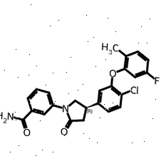 Cc1ccc(F)cc1Oc1cc([C@H]2CC(=O)N(c3cccc(C(N)=O)c3)C2)ccc1Cl